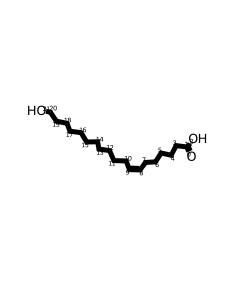 O=C(O)CCCCC/C=C\CCCCCCCCCCCO